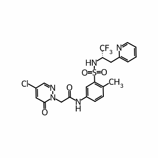 Cc1ccc(NC(=O)Cn2ncc(Cl)cc2=O)cc1S(=O)(=O)N[C@@H](Cc1ccccn1)C(F)(F)F